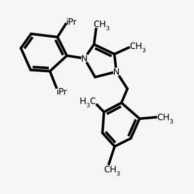 CC1=C(C)N(c2c(C(C)C)cccc2C(C)C)CN1Cc1c(C)cc(C)cc1C